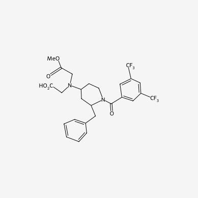 COC(=O)CN(CC(=O)O)C1CCN(C(=O)c2cc(C(F)(F)F)cc(C(F)(F)F)c2)C(Cc2ccccc2)C1